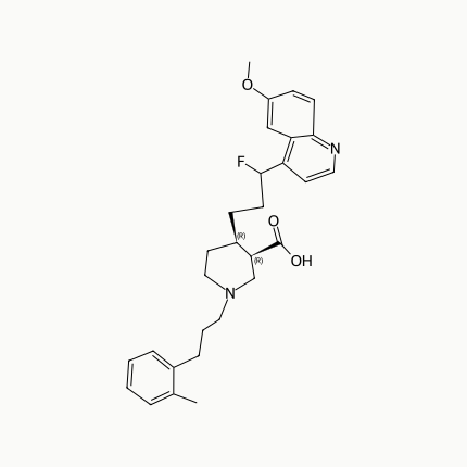 COc1ccc2nccc(C(F)CC[C@@H]3CCN(CCCc4ccccc4C)C[C@@H]3C(=O)O)c2c1